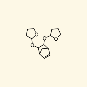 C1=CC2CC1C(OC1CCCO1)C2OC1CCCO1